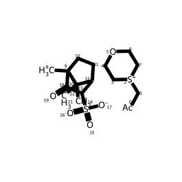 CC(=O)C[S+]1CCOCC1.CC12CCC(C(S(=O)(=O)[O-])C1=O)C2(C)C